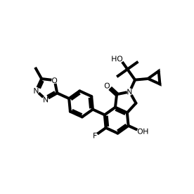 Cc1nnc(-c2ccc(-c3c(F)cc(O)c4c3C(=O)N(C(C3CC3)C(C)(C)O)C4)cc2)o1